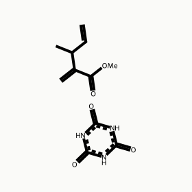 C=CC(C)C(=C)C(=O)OC.O=c1[nH]c(=O)[nH]c(=O)[nH]1